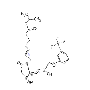 CC(C)OC(=O)CCC/C=C/C[C@H]1C(=O)C[C@@H](O)[C@@H]1/C=C/[C@@H](O)COc1cccc(C(F)(F)F)c1